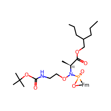 CCCC(CCC)COC(=O)[C@H](C)N(OCCNC(=O)OC(C)(C)C)[P]1(=O)[O][Fm]1